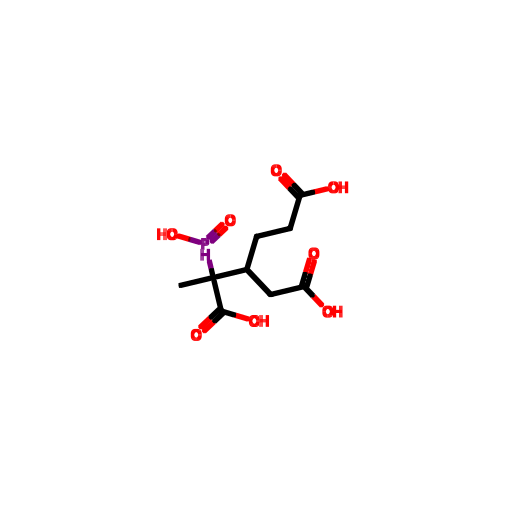 CC(C(=O)O)(C(CCC(=O)O)CC(=O)O)[PH](=O)O